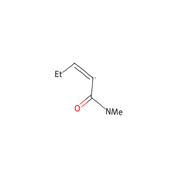 CC/C=[C]\C(=O)NC